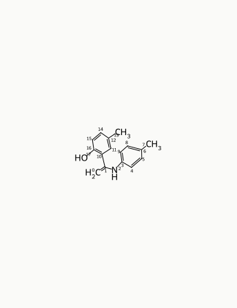 C=C(Nc1ccc(C)cc1)c1cc(C)ccc1O